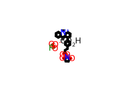 C[n+]1c2ccccc2c(C(=O)O)c2c(-c3ccc(CCC(=O)ON4C(=O)CCC4=O)cc3)cccc21.O=S(=O)([O-])F